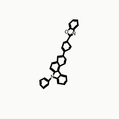 c1ccc(-n2c3ccccc3c3c4ccc(-c5ccc(-c6nc7ccccc7o6)cc5)cc4ccc32)cc1